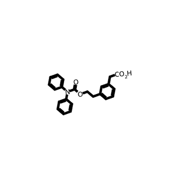 O=C(O)Cc1cccc(CCOC(=O)N(c2ccccc2)c2ccccc2)c1